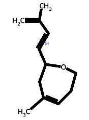 C=C(C)/C=C/C1CC(C)=CCCO1